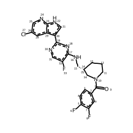 O=C(c1ccc(F)c(F)c1)N1CCC[C@@H](CNc2nc(-c3c[nH]c4ncc(Cl)cc34)ncc2F)C1